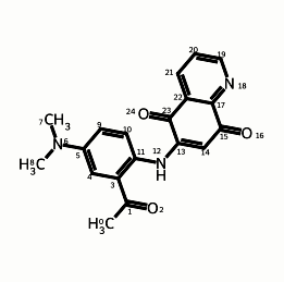 CC(=O)c1cc(N(C)C)ccc1NC1=CC(=O)c2ncccc2C1=O